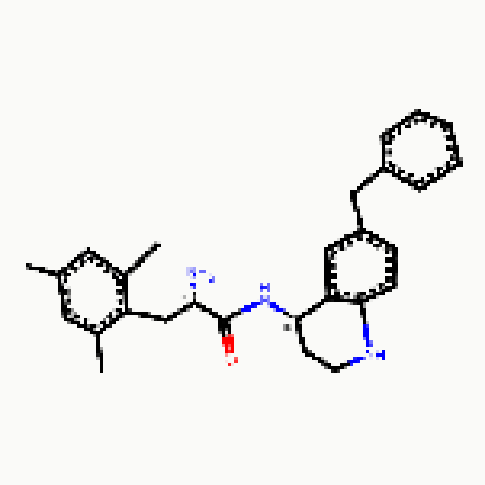 Cc1cc(C)c(C[C@H](N)C(=O)N[C@@H]2CCNc3ccc(Cc4ccccc4)cc32)c(C)c1